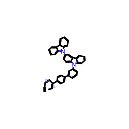 C#C/C=C\C(=C/C)c1ccc(-c2cccc(-n3c4ccccc4c4cc(-n5c6ccccc6c6ccccc65)ccc43)c2)cc1